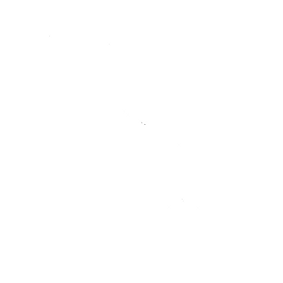 Cc1c(C(=O)O)oc2ccc(S(=O)(=O)N(CCc3ccccc3)Cc3ccc(-c4ccccc4)c(C(=O)OC(C)(C)C)c3)cc12